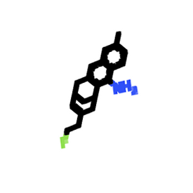 Cc1ccc2c(N)c3c(cc2c1)CC1C=C(CCF)CC3C1